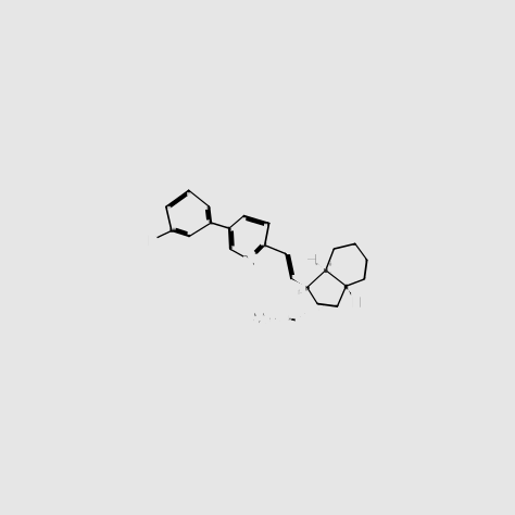 COC[C@H]1C[C@H]2CCCC[C@@H]2[C@@H]1C=Cc1ccc(-c2cccc(F)c2)cn1